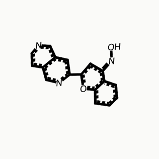 O/N=c1\cc(-c2cc3cnccc3cn2)oc2ccccc12